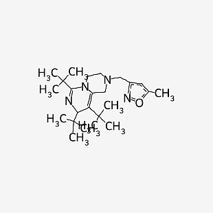 Cc1cc(CN2CCN3C(C(C)(C)C)=NC(C(C)(C)C)C(C(C)(C)C)=C3C2)no1